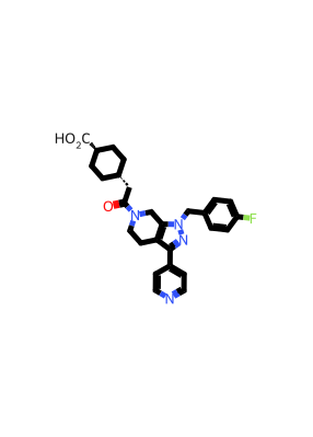 O=C(C[C@H]1CC[C@H](C(=O)O)CC1)N1CCc2c(-c3ccncc3)nn(Cc3ccc(F)cc3)c2C1